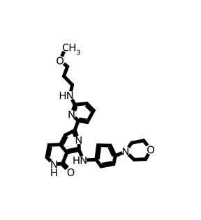 COCCCNc1cccc(-c2cc3cc[nH]c(=O)c3c(Nc3ccc(N4CCOCC4)cc3)n2)n1